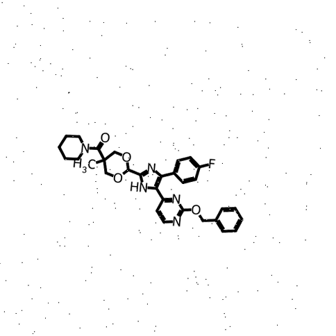 CC1(C(=O)N2CCCCC2)COC(c2nc(-c3ccc(F)cc3)c(-c3ccnc(OCc4ccccc4)n3)[nH]2)OC1